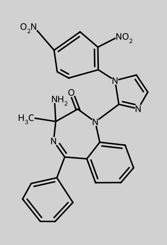 CC1(N)N=C(c2ccccc2)c2ccccc2N(c2nccn2-c2ccc([N+](=O)[O-])cc2[N+](=O)[O-])C1=O